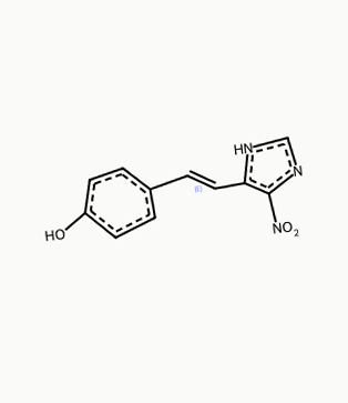 O=[N+]([O-])c1nc[nH]c1/C=C/c1ccc(O)cc1